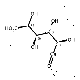 [O]=[Ga][C@H](O)[C@@H](O)[C@@H](O)[C@H](O)C(=O)O